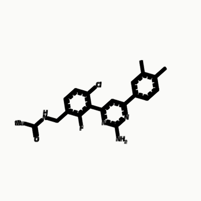 Cc1ccc(-c2cc(-c3c(Cl)ccc(CNC(=O)C(C)(C)C)c3F)nc(N)n2)cc1C